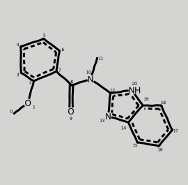 COc1ccccc1C(=O)N(C)c1nc2ccccc2[nH]1